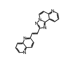 C(=Cc1nc2c3cccnc3ccn2n1)c1ccc2ncccc2n1